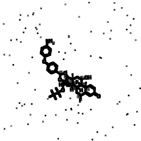 CC(C)(C)[Si](C)(C)OCC(=O)[C@@]12O[C@H](c3ccc(Oc4ccc(N)cc4)cc3)O[C@@H]1C[C@H]1[C@@H]3C[C@H](F)C4=CC(=O)C=C[C@]4(C)[C@@]3(F)[C@@H](O)C[C@@]12C